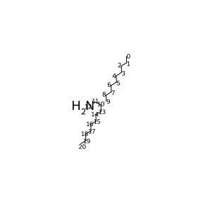 CCCCCCCCCC[C@@H](CN)CCCCCCCC